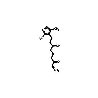 C=CC(=O)CCCC(O)CCc1c(C)noc1C